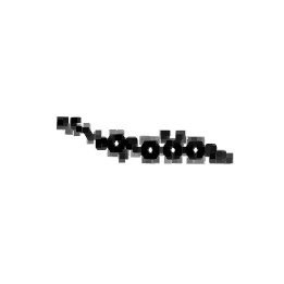 C=CCCCOc1ccc(OCc2ccc(-c3ccc(-c4ccc(OCCCC)cc4)c(F)c3F)cc2)c(F)c1